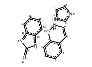 C1=Cc2ccccc2ON1.O=C1N=c2ccccc2=N1.c1c[nH]cn1